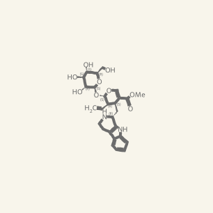 C=C[C@H]1[C@H](O[C@@H]2O[C@H](CO)[C@@H](O)[C@H](O)[C@H]2O)OC=C(C(=O)OC)[C@H]1C[C@H]1NCCc2c1[nH]c1ccccc21